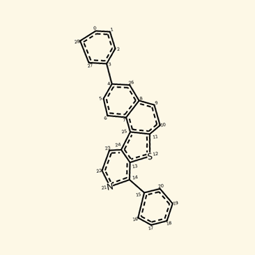 c1ccc(-c2ccc3c(ccc4sc5c(-c6ccccc6)nccc5c43)c2)cc1